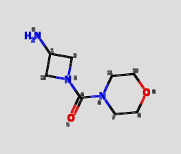 NC1CN(C(=O)N2CCOCC2)C1